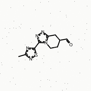 Cc1nsc(-c2nnc3n2CCC(C=O)C3)n1